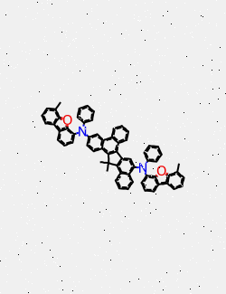 Cc1cccc2c1oc1c(N(c3ccccc3)c3ccc4c5c(c6ccccc6c4c3)-c3cc(N(c4ccccc4)c4cccc6c4oc4c(C)cccc46)c4ccccc4c3C5(C)C)cccc12